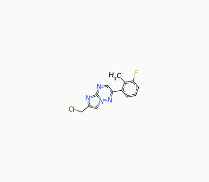 Cc1c(F)cccc1-c1cnc2nc(CCl)cn2n1